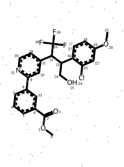 COC(=O)c1cccc(-c2cc(C(C(CO)c3ccc(OC)cc3Cl)C(F)(F)F)ccn2)c1